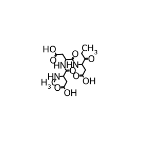 CCC(=O)C(CC(=O)O)NC(=O)C(CC(=O)O)NC(=O)C(CC(=O)O)NC